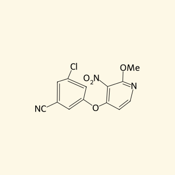 COc1nccc(Oc2cc(Cl)cc(C#N)c2)c1[N+](=O)[O-]